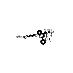 CCCCCCOCCCCCOc1cccc2c(C(=O)NC(=N)N)cc(-c3ccccc3C)nc12